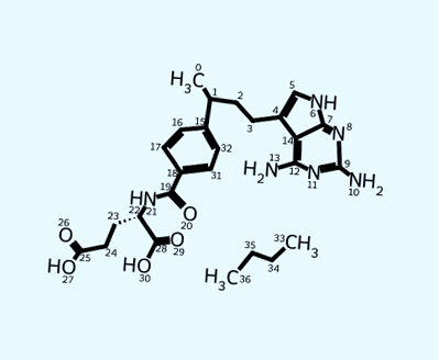 CC(CCc1c[nH]c2nc(N)nc(N)c12)c1ccc(C(=O)N[C@@H](CCC(=O)O)C(=O)O)cc1.CCCC